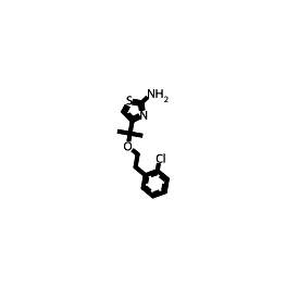 CC(C)(OCCc1ccccc1Cl)c1csc(N)n1